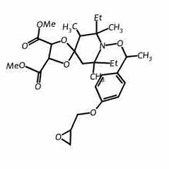 CCC1(C)CC2(OC(C(=O)OC)C(C(=O)OC)O2)C(C)C(C)(CC)N1OC(C)c1ccc(OCC2CO2)cc1